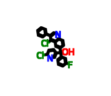 OC(c1ccc(Cl)nc1)(c1cccc(F)c1)c1ccc2ncc(-c3ccccc3)c(Cl)c2c1